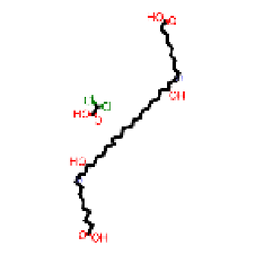 O=C(O)C(Cl)Cl.O=C(O)CCCCCCC/C=C\C[C@H](O)CCCCCCCCCCCCCCCC[C@@H](O)C/C=C\CCCCCCCC(=O)O